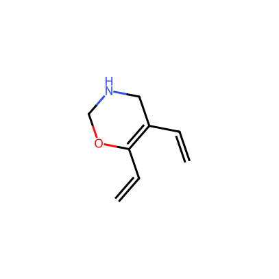 C=CC1=C(C=C)OCNC1